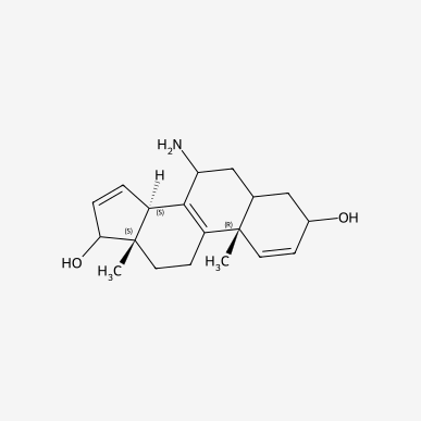 C[C@]12C=CC(O)CC1CC(N)C1=C2CC[C@]2(C)C(O)C=C[C@@H]12